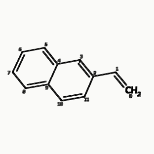 C=Cc1[c]c2ccccc2cc1